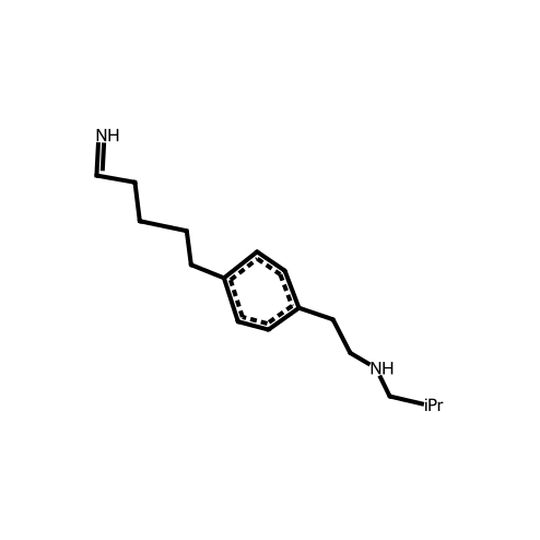 CC(C)CNCCc1ccc(CCCCC=N)cc1